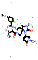 Cc1ccc(F)c(C(=O)N[C@@H](C(=O)N2CCC3(CC2)C(=O)N(C)C(=O)N3c2ccc(=O)n(C)c2)C(C)C)c1